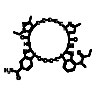 CCC(=O)N(C)c1cccc2c1nc1n2CCCCn2c(nc3cc(C(N)=O)ccc32)NC(=O)c2c(c(C)nn2CC)CCCCCn2nc(C)cc2C(=O)N1